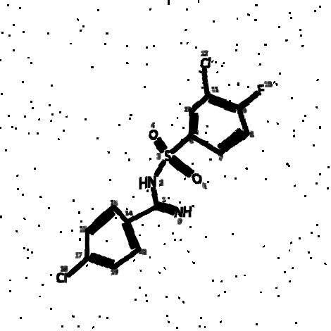 N=C(NS(=O)(=O)c1ccc(F)c(Cl)c1)c1ccc(Cl)cc1